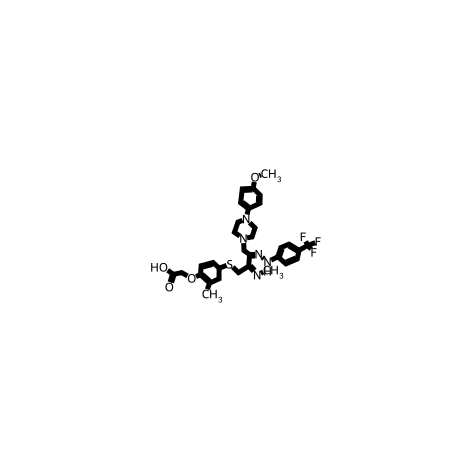 C/N=C(CSC1C=CC(OCC(=O)O)=C(C)C1)\C(CN1CCN(c2ccc(OC)cc2)CC1)=N/Nc1ccc(C(F)(F)F)cc1